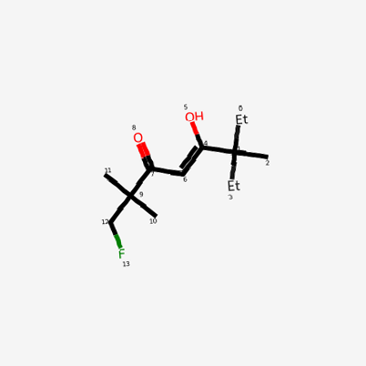 CCC(C)(CC)/C(O)=C/C(=O)C(C)(C)CF